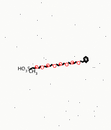 CC(CCOCCOCCOCCOCCOCCOCCOCCOCCc1ccccc1)S(=O)(=O)O